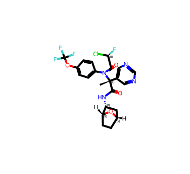 C[C@](C(=O)N[C@@H]1C[C@@H]2CC[C@H]1O2)(c1cncnc1)N(C(=O)[C@H](F)Cl)c1ccc(OC(F)(F)F)cc1